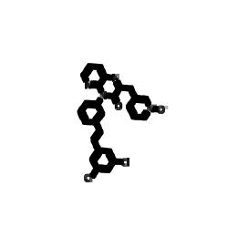 O=c1c(Cc2ccc[n+]([O-])c2)nc2cccnc2n1-c1cccc(/C=C/c2cc(Cl)cc(Cl)c2)c1